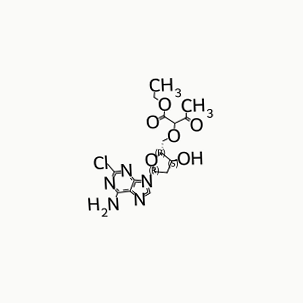 CCOC(=O)C(OC[C@H]1O[C@@H](n2cnc3c(N)nc(Cl)nc32)C[C@@H]1O)C(C)=O